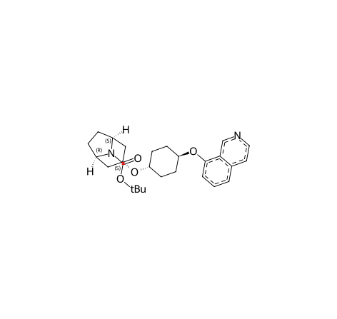 CC(C)(C)OC(=O)N1[C@@H]2CC[C@H]1C[C@H](O[C@H]1CC[C@H](Oc3cccc4ccncc34)CC1)C2